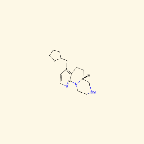 c1cc(CC2CCCC2)c2c(n1)N1CCNC[C@H]1CC2